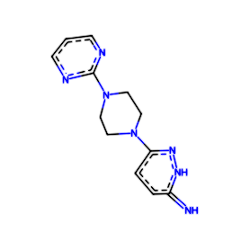 N=c1ccc(N2CCN(c3ncccn3)CC2)n[nH]1